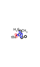 Cc1cnc(CN(Cc2ncccc2-c2ccccc2)C2CCN(C(=O)OC(C)(C)C)CC2)c(C)c1